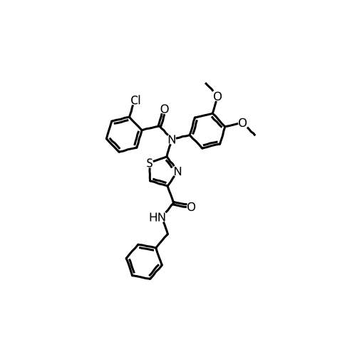 COc1ccc(N(C(=O)c2ccccc2Cl)c2nc(C(=O)NCc3ccccc3)cs2)cc1OC